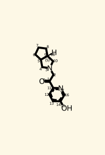 O=C(CN1CC2CCC[C@@H]2C1)c1ccc(O)cn1